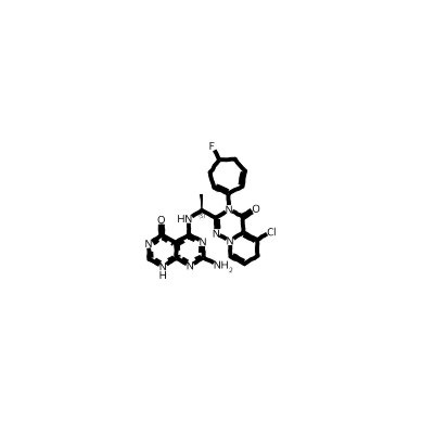 C[C@H](Nc1nc(N)nc2[nH]cnc(=O)c12)C1=NN2C=CCC(Cl)=C2C(=O)N1C1=CCC(F)CC=C1